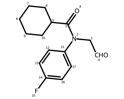 O=CCN(C(=O)C1CCCCC1)c1ccc(F)cc1